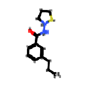 CCCc1cccc(C(=O)NN2CCCS2)c1